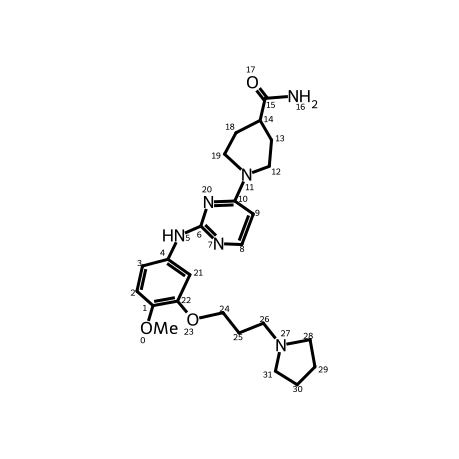 COc1ccc(Nc2nccc(N3CCC(C(N)=O)CC3)n2)cc1OCCCN1CCCC1